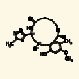 COc1cc(O)c2c(c1C)C(=O)OCCCCC(=O)N[C@H](c1nc(C)no1)C[S+]([O-])C2